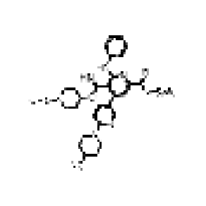 CSNC(=O)c1cc(-c2ccc(N3CCC(C#N)CC3)nc2)c(C(=N)OC2CCN(C=O)CC2)c(Nc2ccccc2)n1